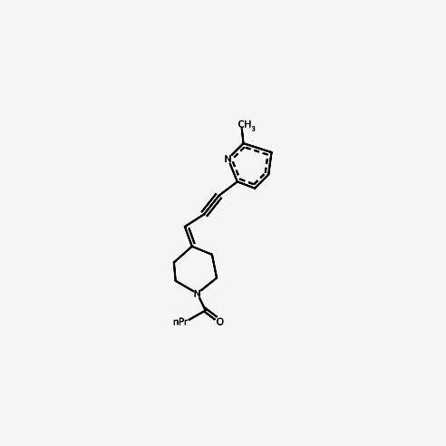 CCCC(=O)N1CCC(=CC#Cc2cccc(C)n2)CC1